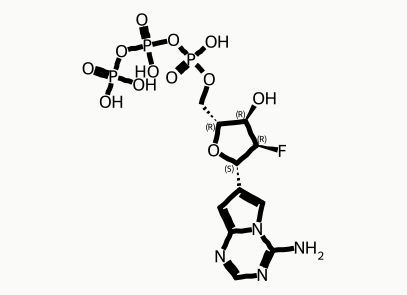 Nc1ncnc2cc([C@@H]3O[C@H](COP(=O)(O)OP(=O)(O)OP(=O)(O)O)[C@@H](O)[C@H]3F)cn12